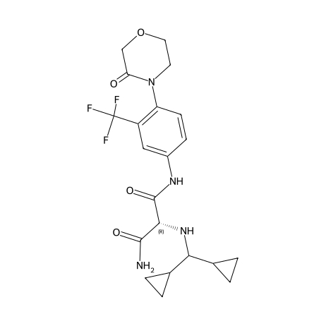 NC(=O)[C@@H](NC(C1CC1)C1CC1)C(=O)Nc1ccc(N2CCOCC2=O)c(C(F)(F)F)c1